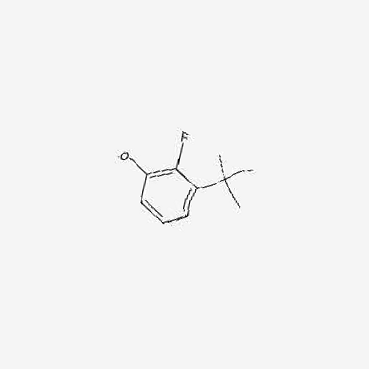 CC(C)(C)c1cccc([O])c1F